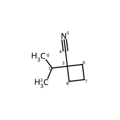 CC(C)C1(C#N)CCC1